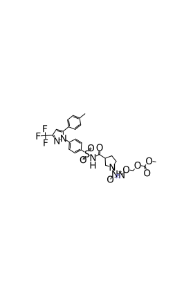 COC(=O)OCO/N=[N+](/[O-])N1CCC(C(=O)NS(=O)(=O)c2ccc(-n3nc(C(F)(F)F)cc3-c3ccc(C)cc3)cc2)C1